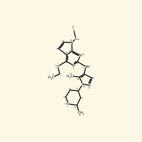 CCOc1nc(Nc2cnn(C3CCOC(C)C3)c2C)nc2c1ccn2SI